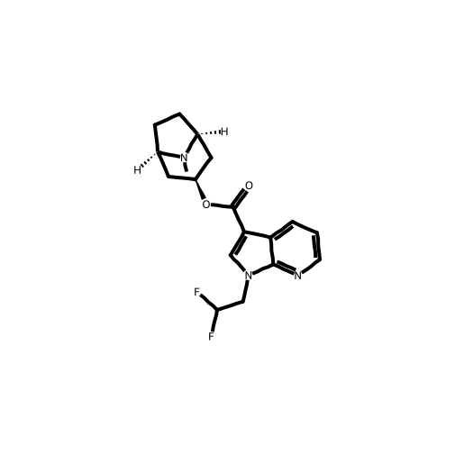 CN1[C@@H]2CC[C@H]1C[C@@H](OC(=O)c1cn(CC(F)F)c3ncccc13)C2